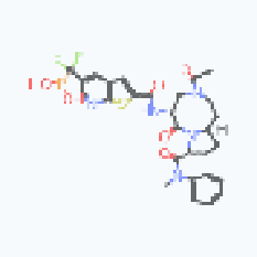 CC(=O)N1CC[C@H]2CC[C@@H](C(=O)N(C)c3ccccc3)N2C(=O)[C@@H](NC(=O)c2cc3cc(C(F)(F)P(O)O)cnc3s2)C1